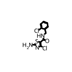 Nc1nc(Cl)c(C(=O)NCc2ccccc2Cl)s1